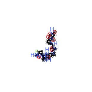 CNC(=O)c1c(F)cccc1Nc1nc(Nc2cc3c(cc2OC)CCN3C(=O)CN(C)C(=O)CCNc2cccc3c2C(=O)N(C2CCC(=O)NC2=O)C3=O)nc2[nH]ccc12